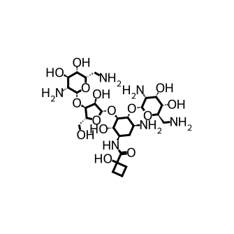 NC[C@@H]1O[C@H](O[C@H]2[C@@H](O)[C@H](O[C@@H]3[C@@H](O)[C@H](NC(=O)C4(O)CCC4)C[C@H](N)[C@H]3O[C@H]3O[C@H](CN)[C@@H](O)[C@@H](O)[C@H]3N)O[C@@H]2CO)[C@H](N)[C@@H](O)[C@@H]1O